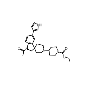 CCOC(=O)N1CCC(N2CCC3(CC2)CN(C(C)=O)c2ccc(-c4cc[nH]c4)cc23)CC1